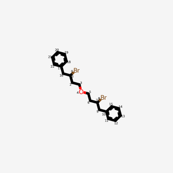 BrC(CCOCCC(Br)Cc1ccccc1)Cc1ccccc1